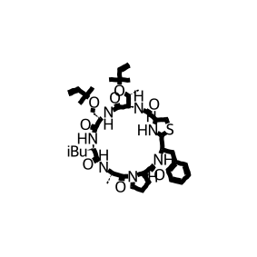 C=CC(C)(C)OC[C@@H]1NC(=O)[C@H]([C@@H](C)OC(C)(C)C=C)NC(=O)[C@@H]2CSC(N2)C(Cc2ccccc2)NC(=O)[C@@H]2CCCN2C(=O)[C@H](C)NC(=O)[C@H]([C@@H](C)CC)NC1=O